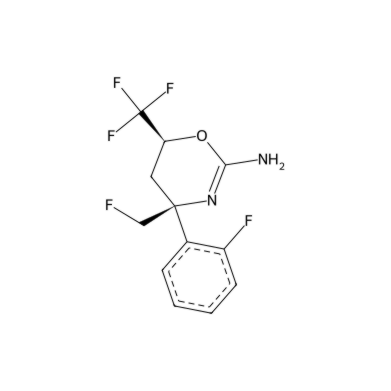 NC1=N[C@](CF)(c2ccccc2F)C[C@@H](C(F)(F)F)O1